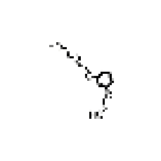 OCCOCCOc1cccc(OCCO)c1